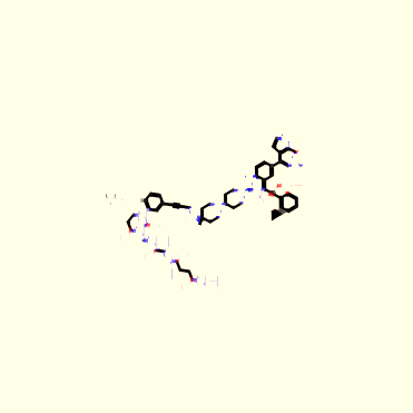 COc1ccc(C#CCNC2(C)CCN(C3CCN(c4nc([C@@](CO)(OC5CC5)c5ccccc5)c5cc(-c6cn(C)c(=O)c7[nH]ccc67)ccc5n4)CC3)CC2)cc1N1CCC(=O)N(CNC(=O)CNC(=O)CCC(N)=O)C1=O